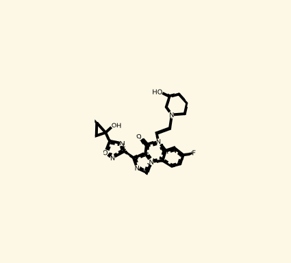 O=c1c2c(-c3noc(C4(O)CC4)n3)ncn2c2ccc(F)cc2n1CCN1CCCC(O)C1